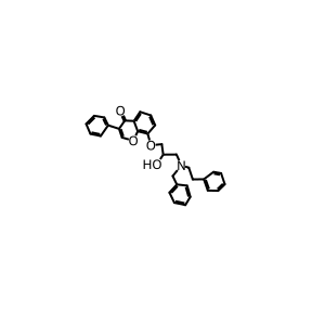 O=c1c(-c2ccccc2)coc2c(OCC(O)CN(CCc3ccccc3)Cc3ccccc3)cccc12